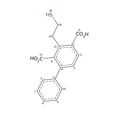 O=C(O)c1ccc(-c2ccccc2)c(C(=O)O)c1CCS